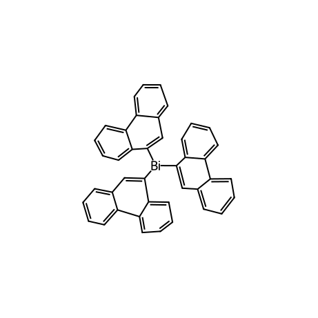 c1ccc2c(c1)c[c]([Bi]([c]1cc3ccccc3c3ccccc13)[c]1cc3ccccc3c3ccccc13)c1ccccc12